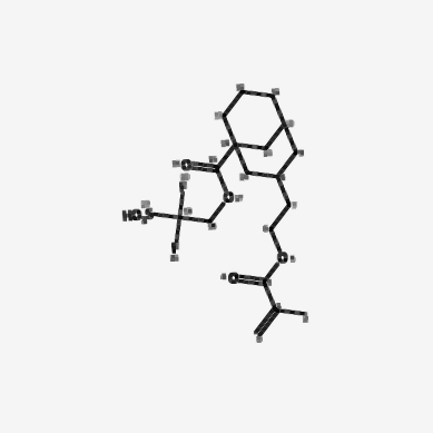 C=C(C)C(=O)OCCC1CC2CCCC(C(=O)OCC(F)(F)S(=O)(=O)O)(C2)C1